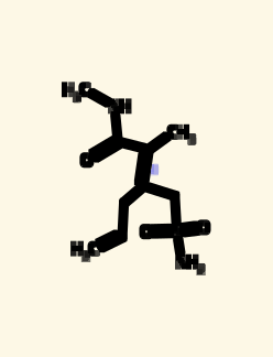 C=CC/C(CS(N)(=O)=O)=C(/C)C(=O)NC